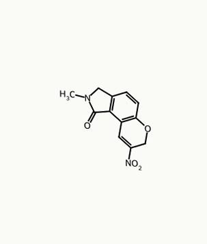 CN1Cc2ccc3c(c2C1=O)C=C([N+](=O)[O-])CO3